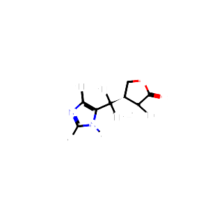 [2H]c1nc(C)n(C)c1C([2H])([2H])[C@H]1COC(=O)[C@@]1([2H])CC